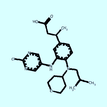 CC(C)CN(c1ccc(C(C)CC(=O)O)cc1Nc1cnc(Cl)nc1)C1CCOCC1